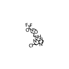 O=C(C(F)F)N1CCOC(CNc2nc(Cl)cc3nccnc23)C1